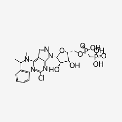 CC(c1ccccc1)N(C)c1nc(Cl)nc2c1cnn2[C@@H]1O[C@H](COP(=O)(O)CP(=O)(O)O)[C@@H](O)[C@H]1O